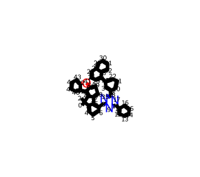 CC1(C)c2cccc(-c3nc(-c4ccccc4)nc(-c4cccc(-c5cccc6ccccc56)c4)n3)c2-c2ccc3oc4ccccc4c3c21